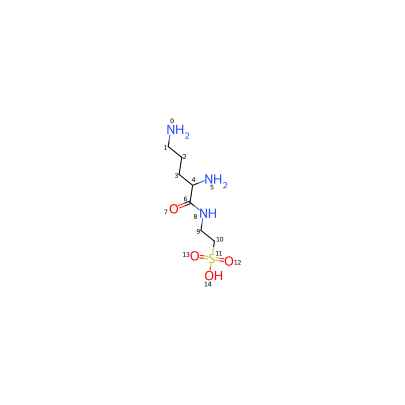 NCCCC(N)C(=O)NCCS(=O)(=O)O